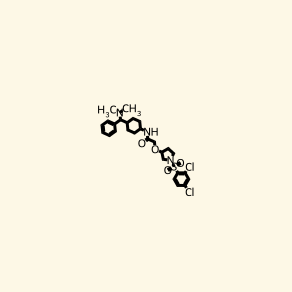 CN(C)C(c1ccccc1)C1CCC(NC(=O)COC2CCN(S(=O)(=O)c3ccc(Cl)cc3Cl)C2)CC1